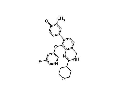 Cn1cc(-c2ccc3c(c2Oc2cncc(F)c2)N=C(C2CCOCC2)NC3)ccc1=O